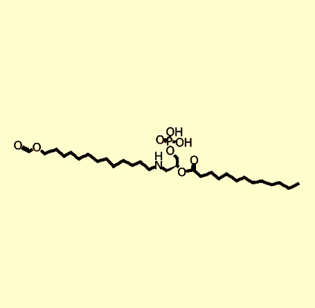 CCCCCCCCCCCCC(=O)O[C@@H](CNCCCCCCCCCCCCCOC=O)COP(=O)(O)O